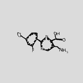 Nc1cnc(-c2ccc(Cl)cc2F)nc1C(=O)O